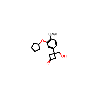 COc1ccc(C2(CO)CC(=O)C2)cc1OC1CCCC1